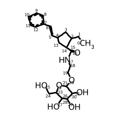 CCC1CC(C=Cc2ccccc2)CC1C(=O)NCCOC1OC(CO)C(O)C(O)C1O